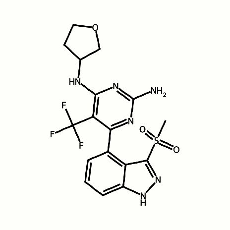 CS(=O)(=O)c1n[nH]c2cccc(-c3nc(N)nc(NC4CCOC4)c3C(F)(F)F)c12